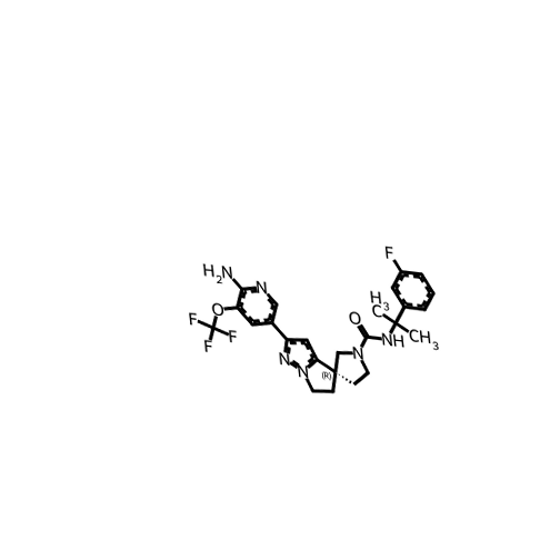 CC(C)(NC(=O)N1CC[C@@]2(CCn3nc(-c4cnc(N)c(OC(F)(F)F)c4)cc32)C1)c1cccc(F)c1